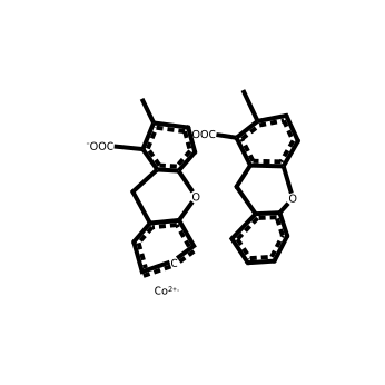 Cc1ccc2c(c1C(=O)[O-])Cc1ccccc1O2.Cc1ccc2c(c1C(=O)[O-])Cc1ccccc1O2.[Co+2]